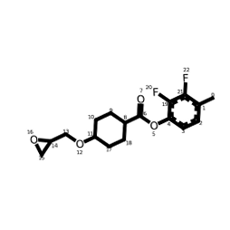 Cc1ccc(OC(=O)C2CCC(OCC3CO3)CC2)c(F)c1F